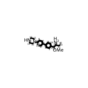 CO[C@H](c1ccc(-c2ccc(N3CCNCC3)nc2)cc1)[C@H](N)CF